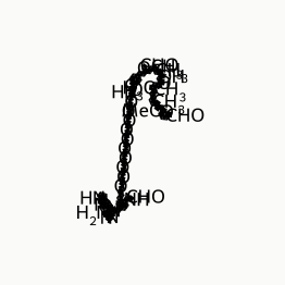 COC(CC1CCCC(C=O)O1)/C(C)=C/C=C/C=C/C(C)CC(C)C(=O)CC(O)/C(C)=C/C(C)CCC(CCC1CCC(OC(=O)NCCOCCOCCOCCOCCOCCOCCOCCOCCOCCOCCCCc2cc(Cn3nc(-c4cnc5[nH]ccc5c4)c4c(N)ncnc43)ccc2CNC=O)CC1)OC=O